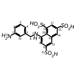 Nc1cccc(CNc2cc(S(=O)(=O)O)cc3cc(S(=O)(=O)O)cc(S(=O)(=O)O)c23)c1